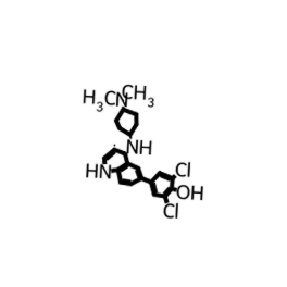 CN(C)[C@H]1CC[C@H](NC2[C]=CNc3ccc(-c4cc(Cl)c(O)c(Cl)c4)cc32)CC1